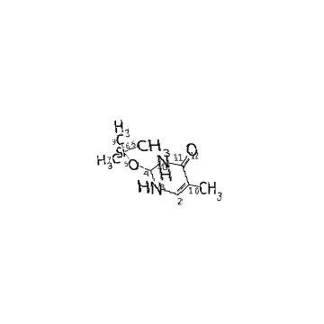 CC1=CNC(O[Si](C)(C)C)NC1=O